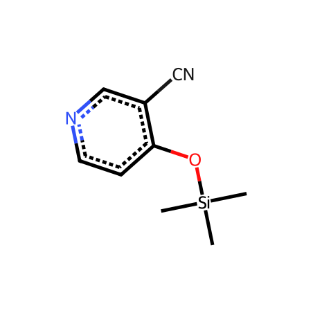 C[Si](C)(C)Oc1ccncc1C#N